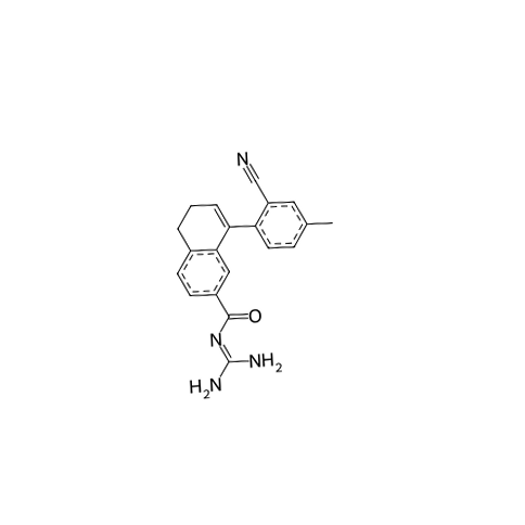 Cc1ccc(C2=CCCc3ccc(C(=O)N=C(N)N)cc32)c(C#N)c1